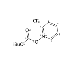 CC(C)COC(=O)O[n+]1ccccc1.[Cl-]